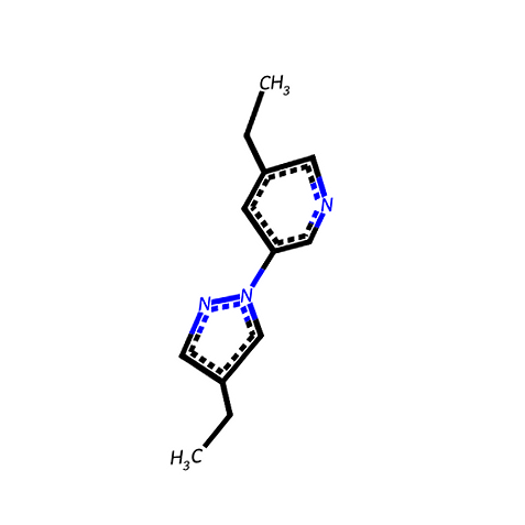 CCc1cncc(-n2cc(CC)cn2)c1